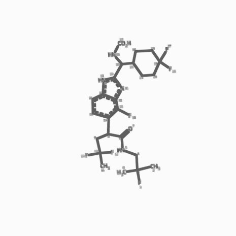 CC(C)(F)CNC(=O)C(CC(C)(F)F)c1ccc2[nH]c(C(NC(=O)O)C3CCC(F)(F)CC3)nc2c1F